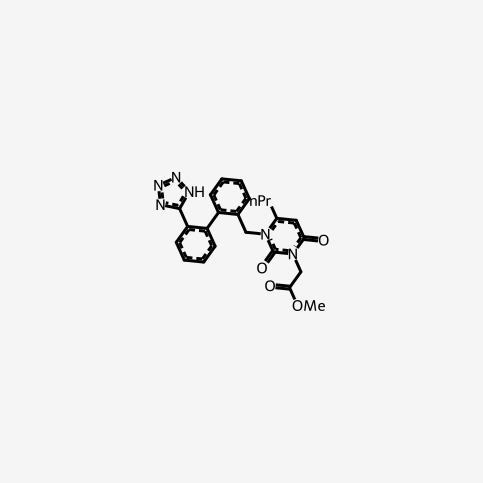 CCCc1cc(=O)n(CC(=O)OC)c(=O)n1Cc1ccccc1-c1ccccc1-c1nnn[nH]1